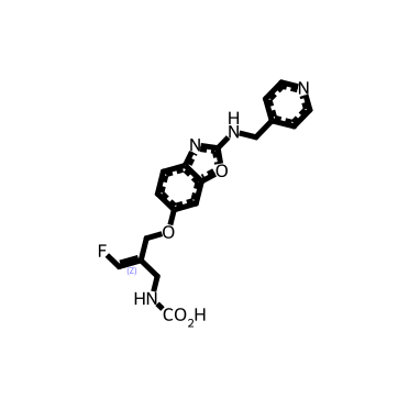 O=C(O)NC/C(=C/F)COc1ccc2nc(NCc3ccncc3)oc2c1